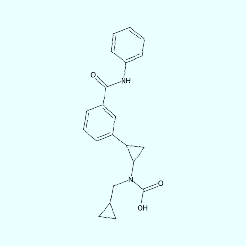 O=C(Nc1ccccc1)c1cccc(C2CC2N(CC2CC2)C(=O)O)c1